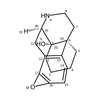 O[C@@]12CCCC[C@@]13CCN[C@@H]2Cc1c3ccc2c1O2